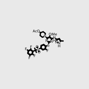 COc1c(Nc2cc(C)[nH]n2)nc(Sc2ccc(S(=O)(=O)C(C)(C)c3c(F)c(F)cc(F)c3F)cc2F)nc1N1CCC(OC(C)=O)CC1